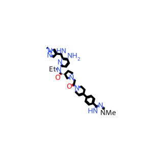 CCN(C(=O)[C@@H]1CCN(CC(=O)N2CC=C(c3ccc(C(=N)/N=C\NC)cc3)CC2)C1)c1ccc(N)c(C(=N)c2cnn(C)c2)n1